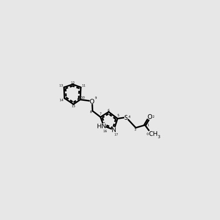 CC(=O)CSc1cc(COc2ccccc2)[nH]n1